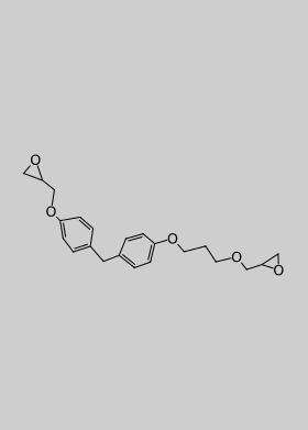 c1cc(OCCCOCC2CO2)ccc1Cc1ccc(OCC2CO2)cc1